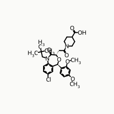 COc1ccc([C@@H]2O[C@@H](CC(=O)N3CCC(C(=O)O)CC3)C(=O)N(CC(C)(C)C)c3ccc(Cl)cc32)c(OC)c1